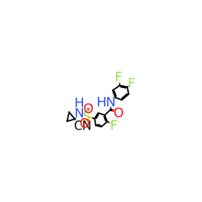 N#CC1(NS(=O)(=O)c2ccc(F)c(C(=O)Nc3ccc(F)c(F)c3)c2)CC1